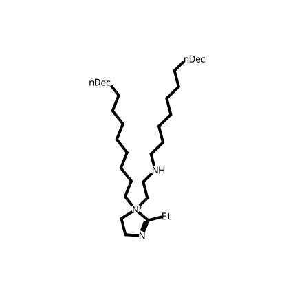 CCCCCCCCCCCCCCCCCC[N+]1(CCNCCCCCCCCCCCCCCCCC)CCN=C1CC